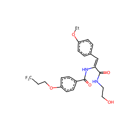 CCOc1ccc(C=C(NC(=O)c2ccc(OCCC(F)(F)F)cc2)C(=O)NCCO)cc1